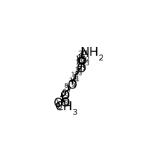 COC(=O)COCCCOCCCCCOc1ccc(CN)cc1